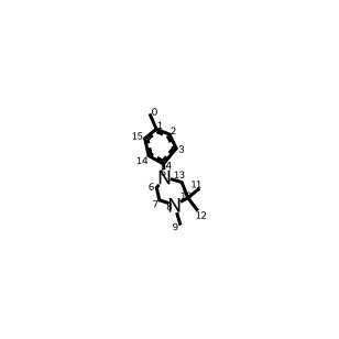 Cc1ccc(N2CCN(C)C(C)(C)C2)cc1